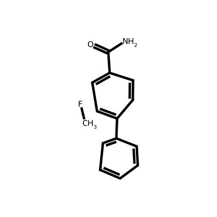 CF.NC(=O)c1ccc(-c2ccccc2)cc1